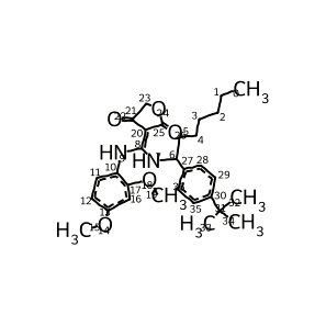 CCCCCCC(NC(Nc1ccc(OC)cc1OC)=C1C(=O)COC1=O)c1ccc(C(C)(C)C)cc1